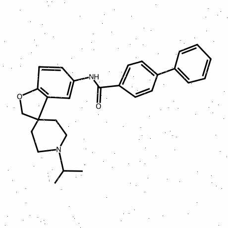 CC(C)N1CCC2(CC1)COc1ccc(NC(=O)c3ccc(-c4ccccc4)cc3)cc12